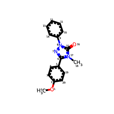 COc1ccc(-c2nn(-c3ccccc3)c(=O)n2C)cc1